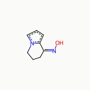 O/N=C1/CCCn2cccc21